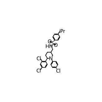 CC(C)c1ccc(S(=O)(=O)NCC2CCC(c3ccc(Cl)cc3Cl)N(c3ccc(Cl)cc3)C2)cc1